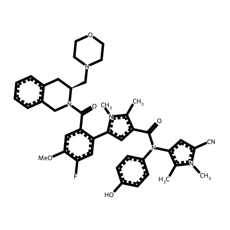 COc1cc(C(=O)N2Cc3ccccc3C[C@H]2CN2CCOCC2)c(-c2cc(C(=O)N(c3ccc(O)cc3)c3cc(C#N)n(C)c3C)c(C)n2C)cc1F